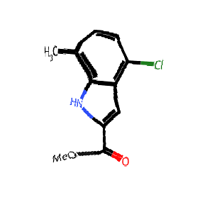 COC(=O)c1cc2c(Cl)ccc(C)c2[nH]1